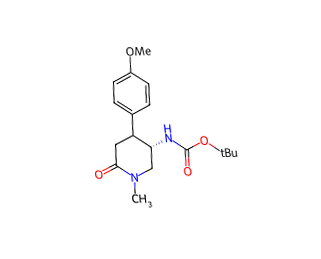 COc1ccc(C2CC(=O)N(C)C[C@H]2NC(=O)OC(C)(C)C)cc1